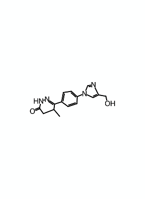 CC1CC(=O)NN=C1c1ccc(-n2cnc(CO)c2)cc1